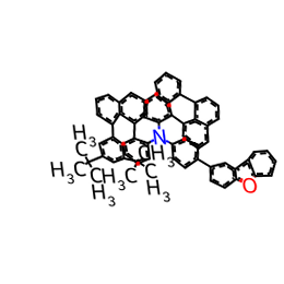 CC(C)(C)c1cc(-c2cccc3cccc(-c4ccccc4N(c4ccc(-c5ccc6oc7ccccc7c6c5)cc4)c4ccccc4-c4cccc5cccc(-c6ccccc6)c45)c23)cc(C(C)(C)C)c1